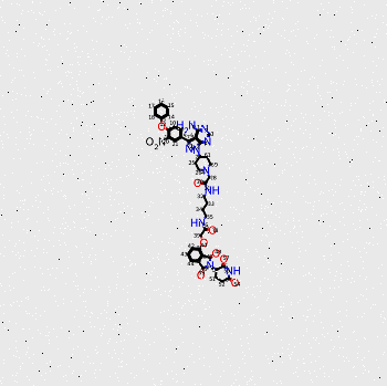 Nc1ncnc2c1c(-c1ccc(Oc3ccccc3)c([N+](=O)[O-])c1)nn2C1CCN(CC(=O)NCCCCNC(=O)COc2cccc3c2C(=O)N(C2CCC(=O)NC2=O)C3=O)CC1